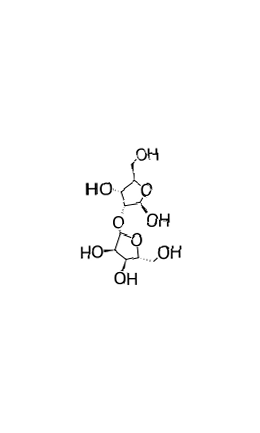 OC[C@H]1O[C@@H](O[C@@H]2[C@H](O)[C@@H](CO)O[C@H]2O)[C@H](O)[C@@H]1O